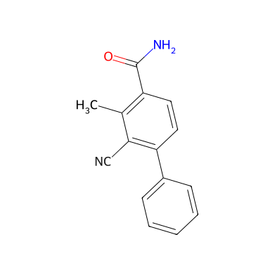 Cc1c(C(N)=O)ccc(-c2ccccc2)c1C#N